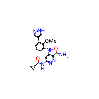 COc1c(Nc2cc(NC(=O)C3CC3)nnc2C(N)=O)cccc1-c1cn[nH]c1